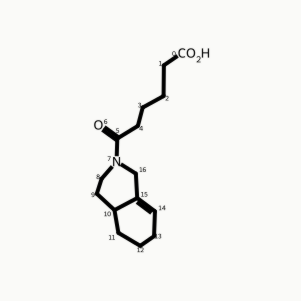 O=C(O)CCCCC(=O)N1CCC2CCCC=C2C1